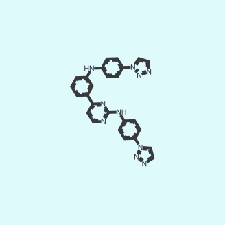 c1cc(Nc2ccc(-n3ccnn3)cc2)cc(-c2ccnc(Nc3ccc(-n4ccnn4)cc3)n2)c1